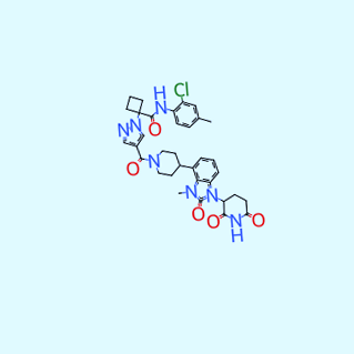 Cc1ccc(NC(=O)C2(n3cc(C(=O)N4CCC(c5cccc6c5n(C)c(=O)n6C5CCC(=O)NC5=O)CC4)cn3)CCC2)c(Cl)c1